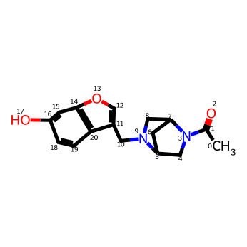 CC(=O)N1CC2CC1CN2Cc1coc2cc(O)ccc12